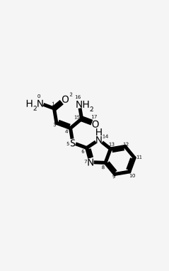 NC(=O)C=C(Sc1nc2ccccc2[nH]1)C(N)=O